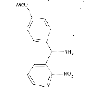 COc1ccc(C(N)c2ccccc2[N+](=O)[O-])cc1